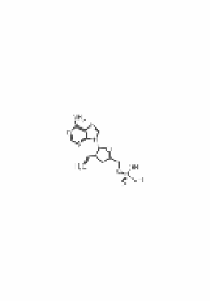 C=C[C@@H]1CC(COP(=O)(O)O)O[C@H]1n1cnc2c(N)ncnc21